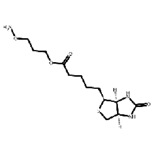 NOCCCOC(=O)CCCC[C@@H]1SC[C@@H]2NC(=O)N[C@@H]21